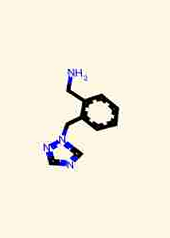 NCc1ccccc1Cn1cncn1